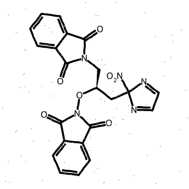 O=C1c2ccccc2C(=O)N1C[C@@H](CC1([N+](=O)[O-])N=CC=N1)ON1C(=O)c2ccccc2C1=O